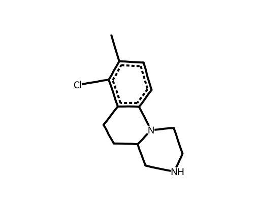 Cc1ccc2c(c1Cl)CCC1CNCCN21